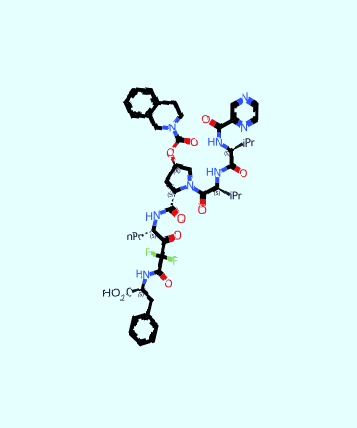 CCC[C@H](NC(=O)[C@@H]1C[C@@H](OC(=O)N2CCc3ccccc3C2)CN1C(=O)[C@@H](NC(=O)[C@@H](NC(=O)c1cnccn1)C(C)C)C(C)C)C(=O)C(F)(F)C(=O)N[C@@H](Cc1ccccc1)C(=O)O